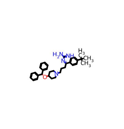 CC(C)(C)c1ccc(/C(CCCN2CCC(OC(c3ccccc3)c3ccccc3)CC2)=N\C(=N)N)cc1